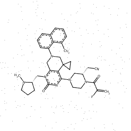 C=C(F)C(=O)N1CCN(c2nc(=O)n(C[C@@H]3CCCN3C)c3c2C2(CC2)CN(c2cccc4cccc(C)c24)C3)C[C@@H]1CC#N